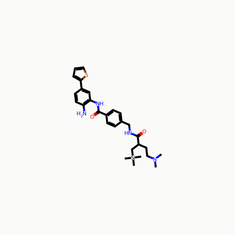 CN(C)CCC(C[Si](C)(C)C)C(=O)NCc1ccc(C(=O)Nc2cc(-c3cccs3)ccc2N)cc1